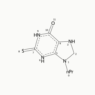 CCCN1CNc2c1[nH]c(=S)[nH]c2=O